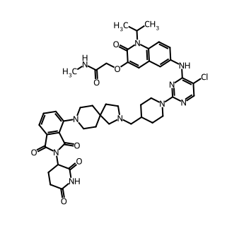 CNC(=O)COc1cc2cc(Nc3nc(N4CCC(CN5CCC6(CCN(c7cccc8c7C(=O)N(C7CCC(=O)NC7=O)C8=O)CC6)C5)CC4)ncc3Cl)ccc2n(C(C)C)c1=O